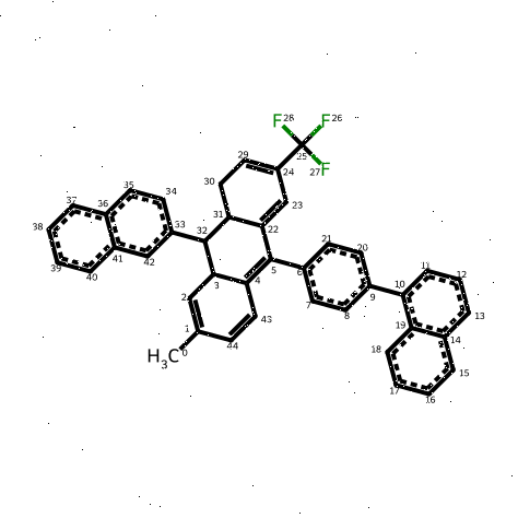 CC1=CC2C(=C(c3ccc(-c4cccc5ccccc45)cc3)C3=CC(C(F)(F)F)=CCC3C2c2ccc3ccccc3c2)C=C1